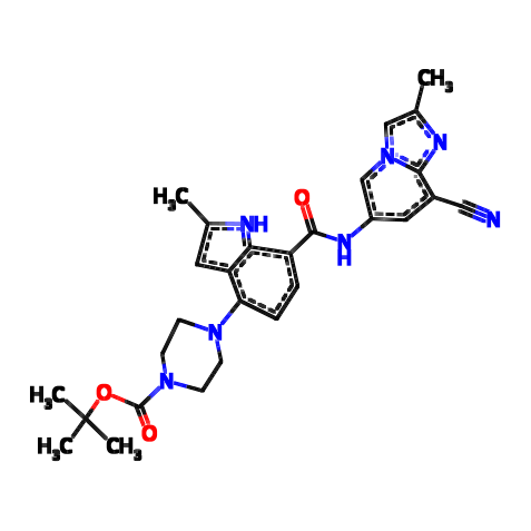 Cc1cn2cc(NC(=O)c3ccc(N4CCN(C(=O)OC(C)(C)C)CC4)c4cc(C)[nH]c34)cc(C#N)c2n1